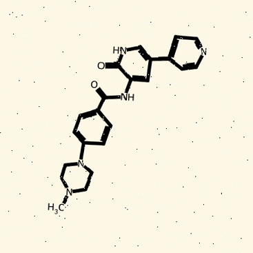 CN1CCN(c2ccc(C(=O)Nc3cc(-c4ccncc4)c[nH]c3=O)cc2)CC1